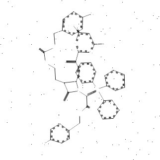 Cc1cc(C)nc(C(=S)CC2C(CCOC(=O)OCc3ccc([N+](=O)[O-])cc3)C(=O)N2C(C(=O)OCc2ccc([N+](=O)[O-])cc2)=P(c2ccccc2)(c2ccccc2)c2ccccc2)n1